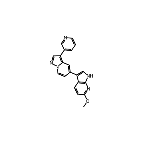 COc1ccc2c(-c3ccn4ncc(-c5cccnc5)c4c3)c[nH]c2n1